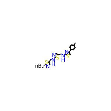 CCCCc1ncc(CNc2ncc(CNc3nc(-c4ccc(C)cc4)cs3)s2)s1